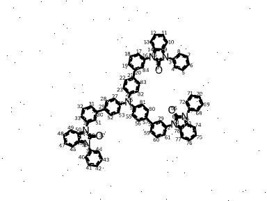 O=c1n(-c2ccccc2)c2ccccc2n1-c1cccc(-c2ccc(N(c3ccc(-c4cccc(-n5c(=O)n(-c6ccccc6)c6ccccc65)c4)cc3)c3ccc(-c4cccc(-n5c(=O)n(-c6ccccc6)c6ccccc65)c4)cc3)cc2)c1